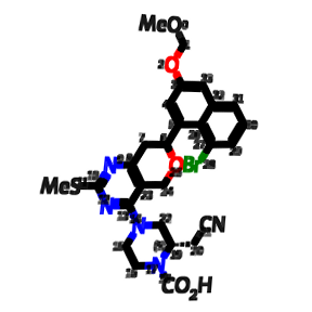 COCOc1cc(C2Cc3nc(SC)nc(N4CCN(C(=O)O)[C@@H](CC#N)C4)c3CO2)c2c(Br)cccc2c1